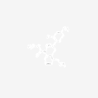 CCc1cccc(N(O)C(=O)OC)c1COc1ccc(C)cc1F